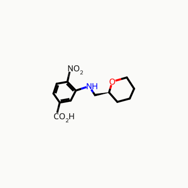 O=C(O)c1ccc([N+](=O)[O-])c(NC[C@@H]2CCCCO2)c1